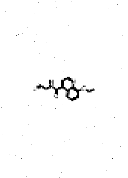 CCOc1cccc2c(C(=O)NCC=O)ccnc12